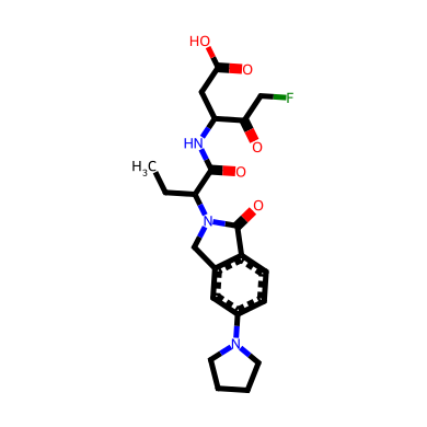 CCC(C(=O)NC(CC(=O)O)C(=O)CF)N1Cc2cc(N3CCCC3)ccc2C1=O